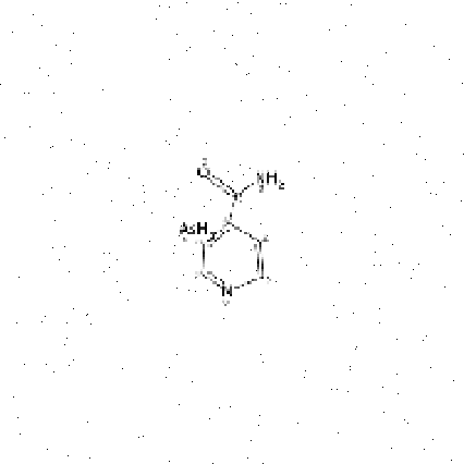 NC(=O)c1ccncc1.[AsH3]